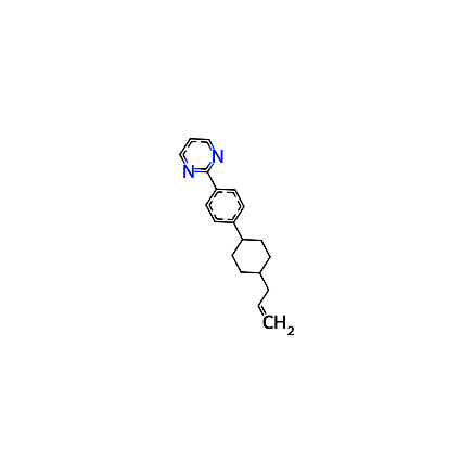 C=CCC1CCC(c2ccc(-c3ncccn3)cc2)CC1